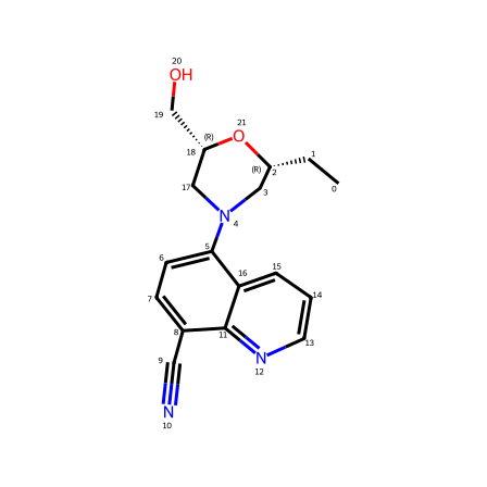 CC[C@@H]1CN(c2ccc(C#N)c3ncccc23)C[C@H](CO)O1